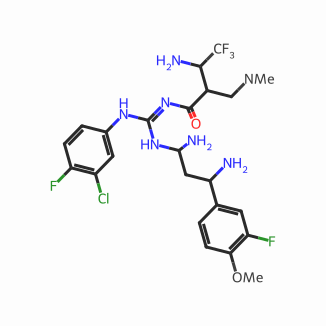 CNCC(C(=O)/N=C(/Nc1ccc(F)c(Cl)c1)NC(N)CC(N)c1ccc(OC)c(F)c1)C(N)C(F)(F)F